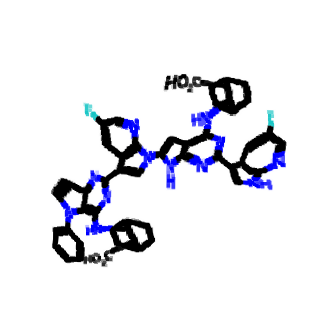 O=C(O)C1C2CCC(CC2)C1Nc1nc(-c2c[nH]c3ncc(F)cc23)nc2[nH]c(-n3cc(-c4nc(NC5C6CCC(CC6)C5C(=O)O)c5c(ccn5-c5ccccc5)n4)c4cc(F)cnc43)cc12